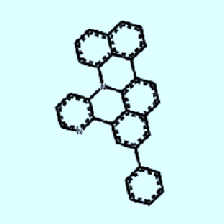 c1ccc(-c2cc3c4c5c(ccc4c2)-c2cccc4cccc(c24)N5c2cccnc2-3)cc1